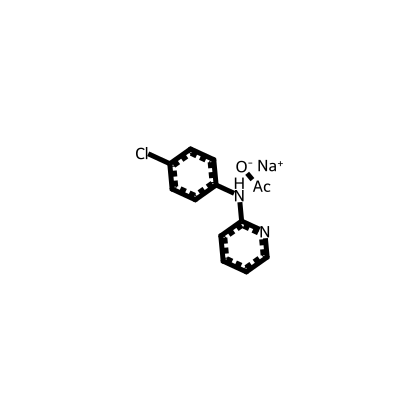 CC(=O)[O-].Clc1ccc(Nc2ccccn2)cc1.[Na+]